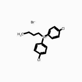 CCC[CH2][Sn+]([c]1ccc(Cl)cc1)[c]1ccc(Cl)cc1.[Br-]